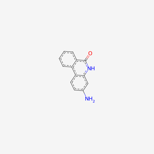 Nc1ccc2c(c1)[nH]c(=O)c1ccccc12